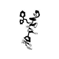 CC(C)(C)NS(=O)(=O)c1ccc(-c2nc(NC(=O)N(CCc3ccccn3)CCC(c3ccccc3)c3ccccc3)sc2Cl)cc1